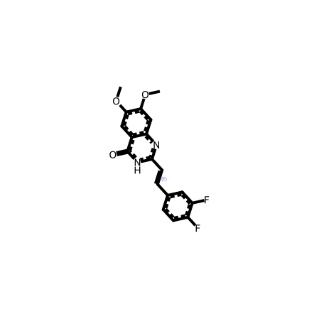 COc1cc2nc(/C=C/c3ccc(F)c(F)c3)[nH]c(=O)c2cc1OC